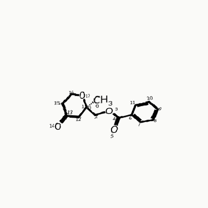 C[C@]1(COC(=O)c2ccccc2)CC(=O)CCO1